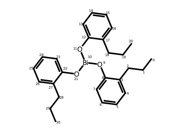 CCCc1ccccc1[O][Bi]([O]c1ccccc1CCC)[O]c1ccccc1CCC